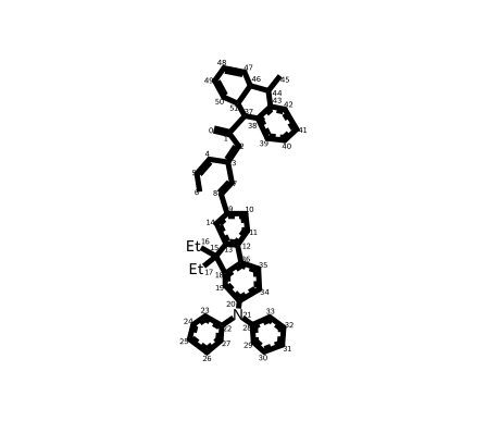 C=C(/C=C(\C=C/C)/C=C/c1ccc2c(c1)C(CC)(CC)c1cc(N(c3ccccc3)c3ccccc3)ccc1-2)C1c2ccccc2C(C)C2C=CC=CC12